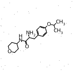 CC(C)Oc1ccc(C[C@H](N)C(=O)NC2CCOCC2)cc1